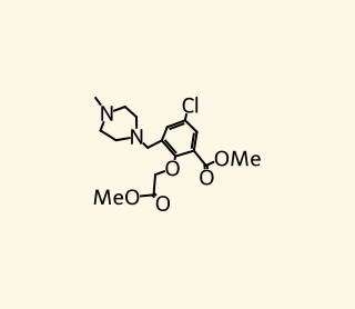 COC(=O)COc1c(CN2CCN(C)CC2)cc(Cl)cc1C(=O)OC